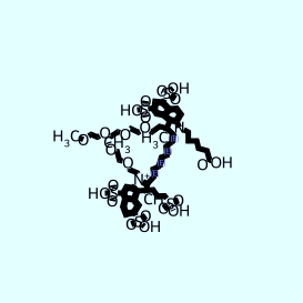 COCCOCCOCCOCCC1(C)\C(=C/C=C/C=C/C=C/C2=[N+](CCOCCOC)c3cc(S(=O)(=O)O)c4ccc(S(=O)(=O)O)cc4c3C2(C)CCCS(=O)(=O)O)N(CCCCCC(=O)O)c2ccc3c(S(=O)(=O)O)cc(S(=O)(=O)O)cc3c21